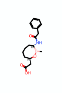 CB1O[C@@H](CC(=O)O)CCCC[C@@H]1NC(=O)Cc1ccccc1